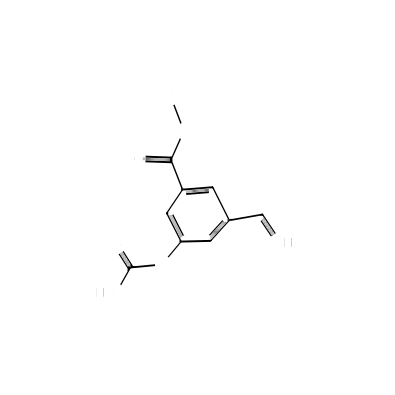 C=[C]c1cc(OC(C)=O)cc(C(=O)OC)c1